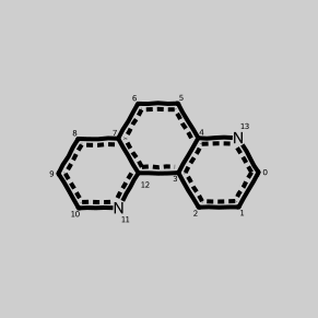 [c]1ccc2c(ccc3cccnc32)n1